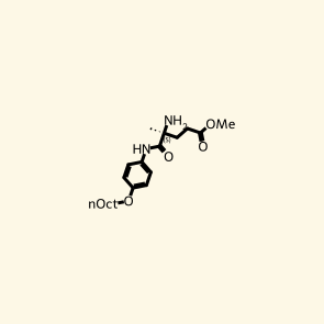 CCCCCCCCOc1ccc(NC(=O)[C@@](C)(N)CCC(=O)OC)cc1